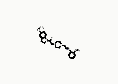 COc1ccc2c(c1)CCN2C(=O)CN1CCN(C/C=N/c2ccccc2N)CC1